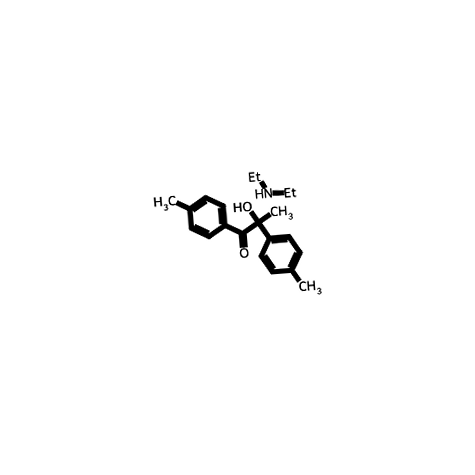 CCNCC.Cc1ccc(C(=O)C(C)(O)c2ccc(C)cc2)cc1